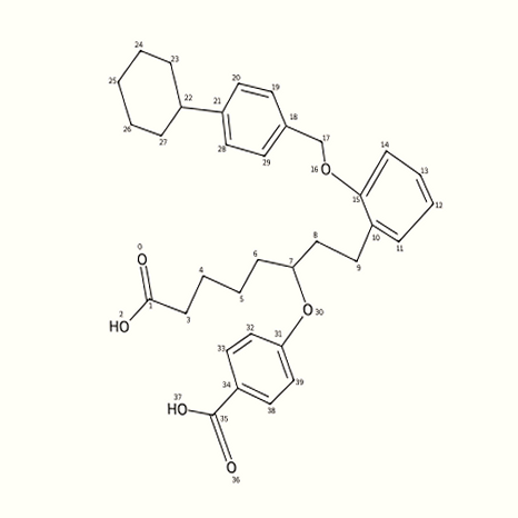 O=C(O)CCCCC(CCc1ccccc1OCc1ccc(C2CCCCC2)cc1)Oc1ccc(C(=O)O)cc1